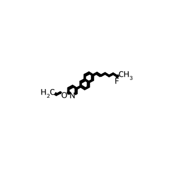 C=CCOc1ccc(-c2ccc3cc(C=CCCCC(C)F)ccc3c2)cn1